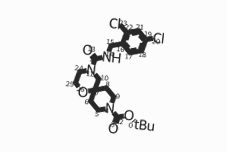 CC(C)(C)OC(=O)N1CCC2(CC1)CN(C(=O)NCc1ccc(Cl)cc1Cl)CCO2